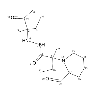 CCC(C)(NBC(=O)C(C)(CC)N1CCCCC1C=O)C(C)=O